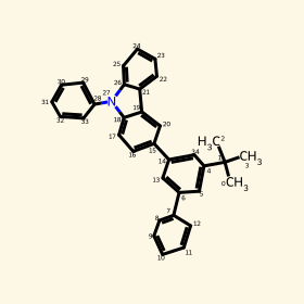 CC(C)(C)c1cc(-c2ccccc2)cc(-c2ccc3c(c2)c2ccccc2n3-c2ccccc2)c1